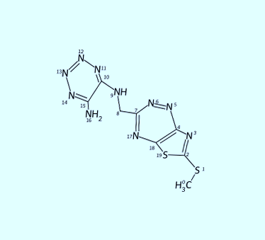 CSc1nc2nnc(CNc3nnnnc3N)nc2s1